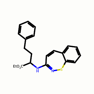 CCOC(=O)C(CCc1ccccc1)NC1=NSc2ccccc2C=C1